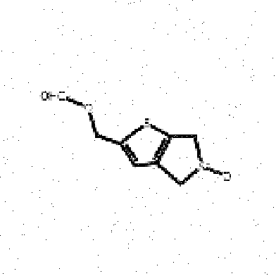 O=COCc1cc2c(s1)C[S+]([O-])C2